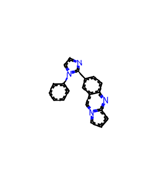 c1ccc(-n2ccnc2-c2ccc3nc4cccn4cc3c2)cc1